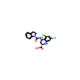 O=C(O)[C@@H]1C[C@@H](NC(=O)N2CCc3ccccc32)c2c(Cl)cc(Cl)cc2N1